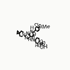 COc1ccc(CNc2nc(N3CCC4(CC3)CC4)ncc2C(=O)N[C@H]2CC[C@H](OP(=O)(O)O)CC2)cc1Cl